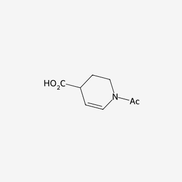 CC(=O)N1C=CC(C(=O)O)CC1